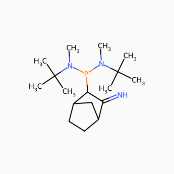 CN(P(C1C(=N)C2CCC1C2)N(C)C(C)(C)C)C(C)(C)C